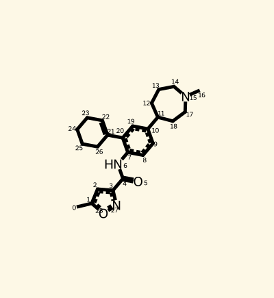 Cc1cc(C(=O)Nc2ccc(C3CCCN(C)CC3)cc2C2=CCCCC2)no1